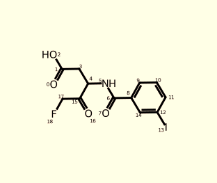 O=C(O)CC(NC(=O)c1cccc(I)c1)C(=O)CF